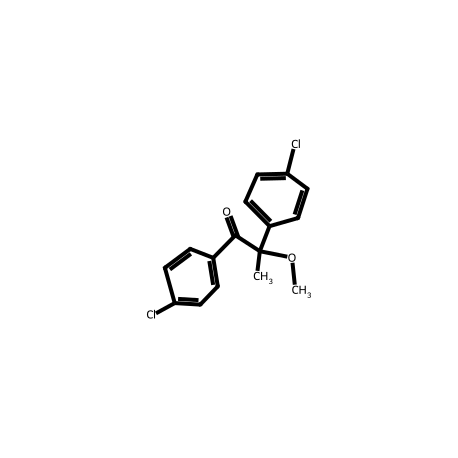 COC(C)(C(=O)c1ccc(Cl)cc1)c1ccc(Cl)cc1